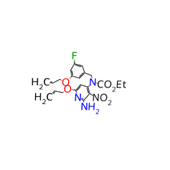 C=CCOc1cc(F)cc(CN(C(=O)OCC)c2cc(OCC=C)nc(N)c2[N+](=O)[O-])c1